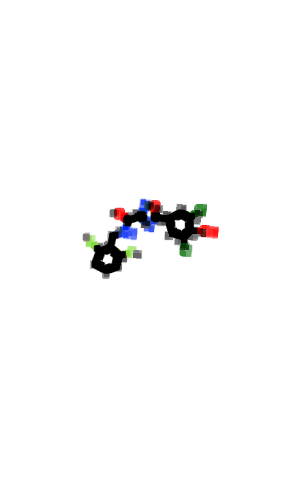 O=C(NCc1c(F)cccc1F)c1noc(-c2cc(Cl)c(O)c(Cl)c2)n1